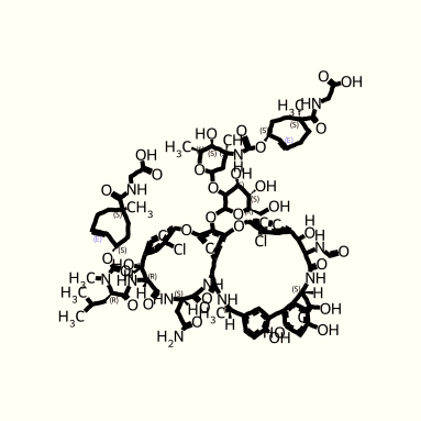 CC(C)C[C@H](C(=O)N[C@H]1C(=O)N[C@@H](CC(N)=O)C(=O)NC2C(=O)N[C@@H](C)c3ccc(O)c(c3)-c3c(O)cc(O)cc3[C@@H](C(=O)O)NC(=O)C(NC=O)C(O)c3ccc(c(Cl)c3)Oc3cc2cc(c3OC2O[C@H](CO)[C@@H](O)[C@H](O)C2OC2C[C@](C)(NC(=O)O[C@@H]3/C=C/CC[C@](C)(C(=O)NCC(=O)O)CC3)[C@H](O)[C@H](C)O2)Oc2ccc(cc2Cl)[C@H]1O)N(C)C(=O)O[C@@H]1/C=C/CC[C@](C)(C(=O)NCC(=O)O)CC1